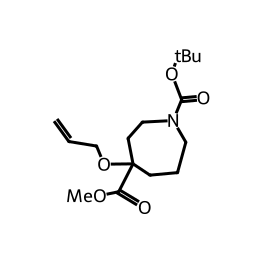 C=CCOC1(C(=O)OC)CCCN(C(=O)OC(C)(C)C)CC1